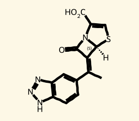 CC(=C1C(=O)N2C(C(=O)O)=CS[C@@H]12)c1ccc2[nH]nnc2c1